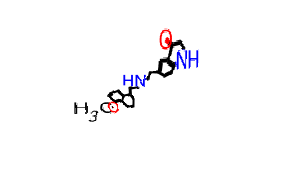 COc1cccc2c1CCCC2CCNCCc1ccc2c(c1)C(=O)CCN2